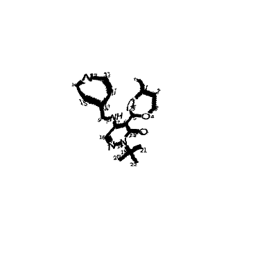 CC1CCOC(c2c(NCc3ccncc3)cnn(C(C)(C)C)c2=O)O1